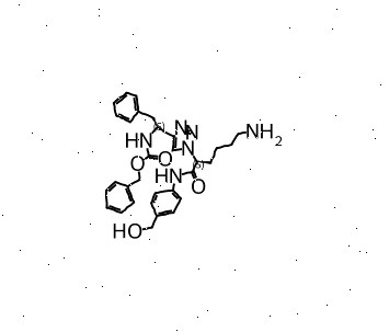 NCCCC[C@@H](C(=O)Nc1ccc(CO)cc1)n1cc([C@H](Cc2ccccc2)NC(=O)OCc2ccccc2)nn1